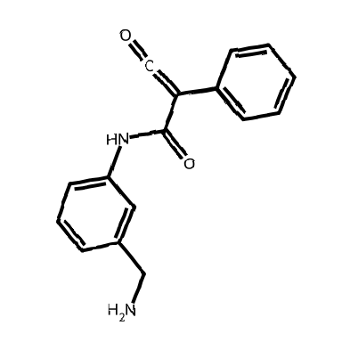 NCc1cccc(NC(=O)C(=C=O)c2ccccc2)c1